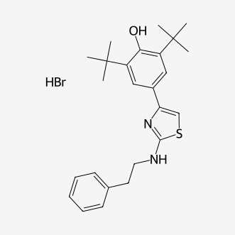 Br.CC(C)(C)c1cc(-c2csc(NCCc3ccccc3)n2)cc(C(C)(C)C)c1O